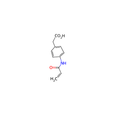 C=CC(=O)Nc1ccc(CC(=O)O)cc1